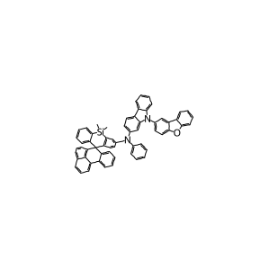 C[Si]1(C)c2ccccc2C2(c3ccccc3-c3cccc4cccc2c34)c2ccc(N(c3ccccc3)c3ccc4c5ccccc5n(-c5ccc6oc7ccccc7c6c5)c4c3)cc21